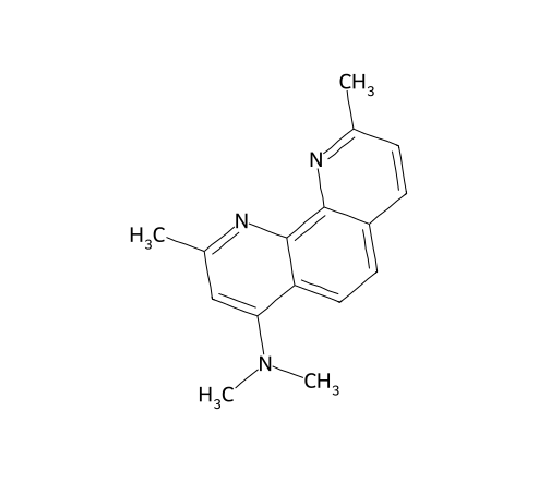 Cc1ccc2ccc3c(N(C)C)cc(C)nc3c2n1